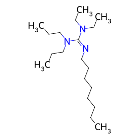 CCCCCCCCN=C(N(CC)CC)N(CCC)CCC